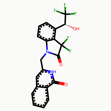 O=C1N(Cc2cc3ccccc3c(=O)[nH]2)c2cccc([C@@H](O)C(F)(F)F)c2C1(F)F